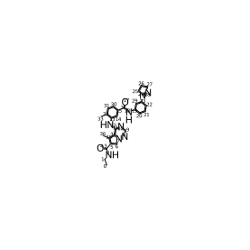 CCNC(=O)c1cn2ncnc(Nc3cc(C(=O)Nc4cccc(-n5cccn5)c4)ccc3C)c2c1C